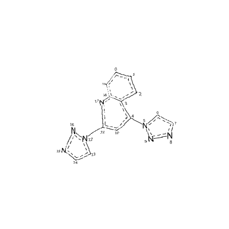 c1ccc2c(-n3ccnn3)cc(-n3ccnn3)nc2c1